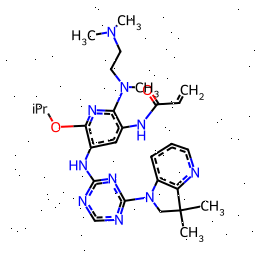 C=CC(=O)Nc1cc(Nc2ncnc(N3CC(C)(C)c4ncccc43)n2)c(OC(C)C)nc1N(C)CCN(C)C